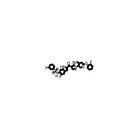 Cc1cc(Oc2ccccc2F)ncc1-n1ncc(C(=O)c2cc3cc(F)c(NS(=O)(=O)c4cccc(F)c4)cc3[nH]2)c1N